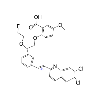 COc1ccc(OCC(OCCF)c2cccc(/C=C/c3ccc4cc(Cl)c(Cl)cc4n3)c2)c(C(=O)O)c1